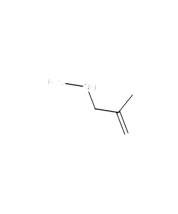 C=C(C)CN[SiH3]